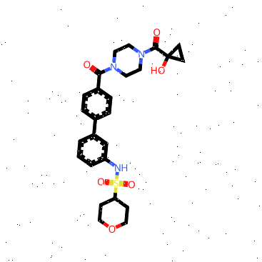 O=C(c1ccc(-c2cccc(NS(=O)(=O)C3CCOCC3)c2)cc1)N1CCN(C(=O)C2(O)CC2)CC1